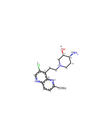 COc1ccc2ncc(Cl)c(CCN3CC[C@H](N)[C@H](O)C3)c2n1